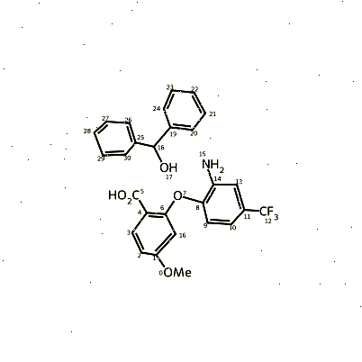 COc1ccc(C(=O)O)c(Oc2ccc(C(F)(F)F)cc2N)c1.OC(c1ccccc1)c1ccccc1